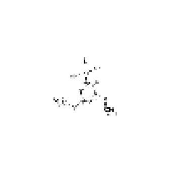 C=[C]c1cc(CC)cc(C(F)(F)F)c1